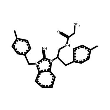 Cc1ccc(CC(CNC(=O)CN)n2c(=N)n(Cc3ccc(C)cc3)c3ccccc32)cc1